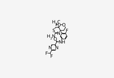 C[C@H]1OCC[C@]2(c3cc(NC(=O)c4cnc(C(F)F)cn4)ccc3F)N=C(N)SC[C@H]12